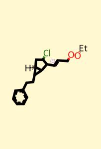 CCOOC/C=C/C1C(Cl)C[C@@H]2C(CCc3ccccc3)C12